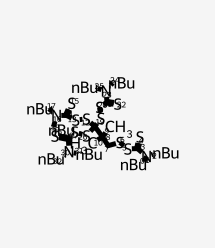 CCCCN(CCCC)C(=S)SSCC(C)(C)C(SSC(=S)N(CCCC)CCCC)(SSC(=S)N(CCCC)CCCC)SSC(=S)N(CCCC)CCCC